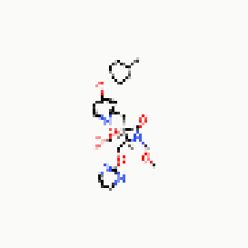 COCO[C@@]1(Cc2cc(O[C@H]3CC[C@H](C)CC3)ccn2)C(=O)N(COC)[C@H]1COc1ncccn1